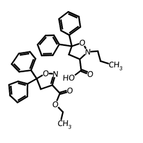 CCCN1OC(c2ccccc2)(c2ccccc2)CC1C(=O)O.CCOC(=O)C1=NOC(c2ccccc2)(c2ccccc2)C1